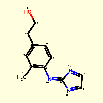 Cc1cc(CCO)ccc1N=C1N=CC=N1